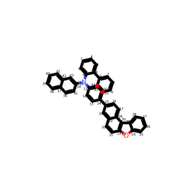 c1ccc(-c2ccccc2N(c2ccc(-c3ccc4c(ccc5oc6ccccc6c54)c3)cc2)c2ccc3ccccc3c2)cc1